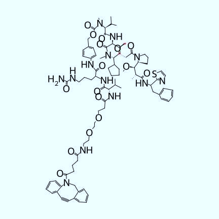 CO[C@H]([C@@H](C)C(=O)NC(Cc1ccccc1)c1nccs1)[C@@H]1CCCN1C(=O)C[C@@H](OC)[C@H](C1CCCC1)N(C)C(=O)[C@@H](NC(=O)[C@H](C(C)C)N(C)C(=O)OCc1ccc(NC(=O)C(CCCNC(N)=O)NC(=O)[C@@H](NC(=O)CCOCCOCCNC(=O)CCCC(=O)N2Cc3ccccc3C#Cc3ccccc32)C(C)C)cc1)C(C)C